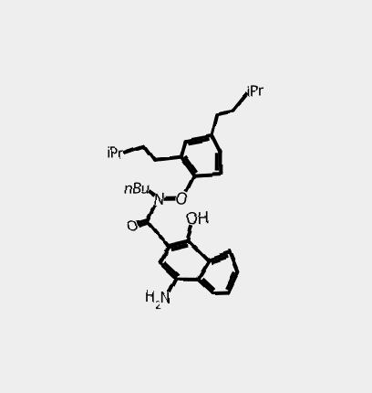 CCCCN(Oc1ccc(CCC(C)C)cc1CCC(C)C)C(=O)c1cc(N)c2ccccc2c1O